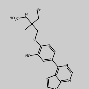 CC(C)CC(C)(COc1ccc(-c2ncnc3[nH]ccc23)cc1C#N)NC(=O)O